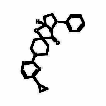 O=C1N2[C@@H](CC[C@H]2c2ccccc2)OC12CCN(c1nccc(C3CC3)n1)CC2